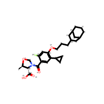 C[C@H]1OCN(C(=O)c2cc(C3CC3)c(OCCCC3CC4CCCC(C3)C4)cc2F)[C@@H]1C(=O)O